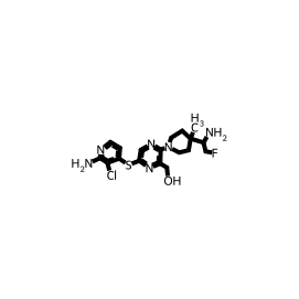 CC1(C(N)CF)CCN(c2ncc(Sc3ccnc(N)c3Cl)nc2CO)CC1